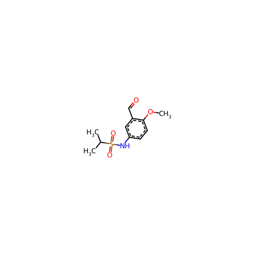 COc1ccc(NS(=O)(=O)C(C)C)cc1C=O